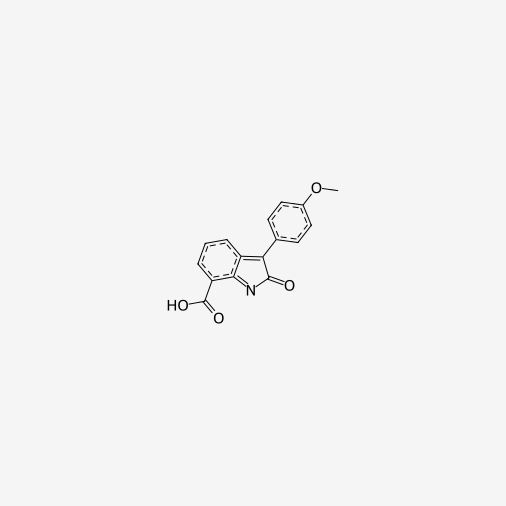 COc1ccc(C2=c3cccc(C(=O)O)c3=NC2=O)cc1